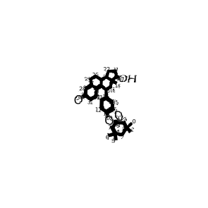 CC1(C)CC(C)(C)CC2(C1)Oc1ccc(C3CC4(C)C(O)CCC4C4CCC5=CC(=O)CCC5=C34)cc1O2